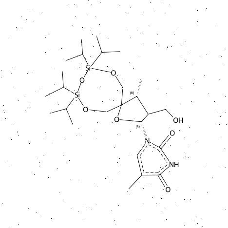 Cc1cn([C@@H]2OC3(CO[Si](C(C)C)(C(C)C)O[Si](C(C)C)(C(C)C)OC3)[C@H](C)C2CO)c(=O)[nH]c1=O